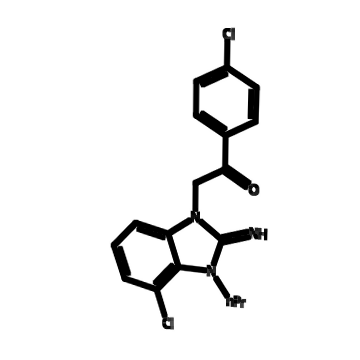 CCCn1c(=N)n(CC(=O)c2ccc(Cl)cc2)c2cccc(Cl)c21